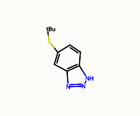 CC(C)(C)Sc1ccc2[nH]nnc2c1